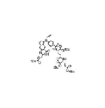 C#CCN(C1=C2C=c3c(nc(COC(=O)C(C)(C)C)[nH]c3=O)=CC2CC1)c1ccc(C(=O)N[C@@H](CCC(=O)N[C@H](CCC(=O)OC(C)(C)C)C(=O)OC(C)(C)C)C(=O)OC(C)(C)C)cc1